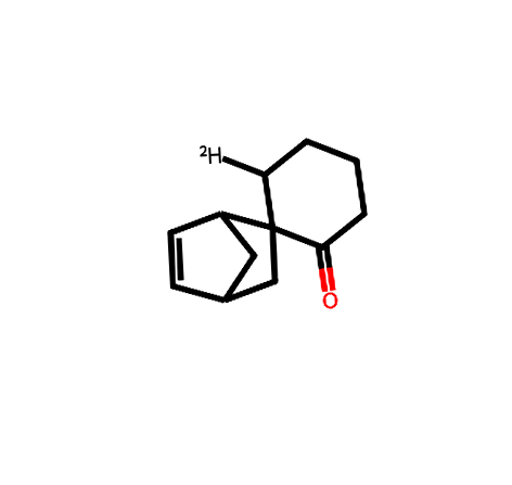 [2H]C1CCCC(=O)C12CC1C=CC2C1